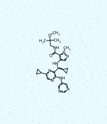 COC(C)(C)CNC(=O)c1c(NC(=C2CC2)c2nc(C3CC3)cnc2Nc2cncnc2)cnn1C